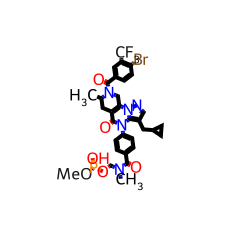 COP(O)OCN(C)C(=O)c1ccc(-n2c(=O)c3c(n4ncc(CC5CC5)c24)CN(C(=O)c2ccc(Br)c(C(F)(F)F)c2)C(C)C3)cc1